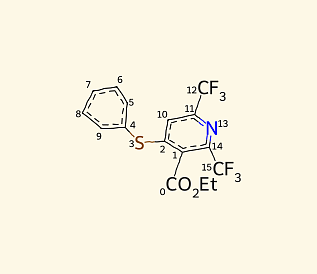 CCOC(=O)c1c(Sc2ccccc2)cc(C(F)(F)F)nc1C(F)(F)F